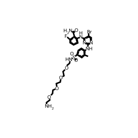 Cc1cc(S(=O)(=O)NCCOCCOCCOCCOCCN)ccc1Nc1ncc(Br)c(Nc2cccc(F)c2C(N)=O)n1